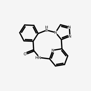 O=C1Nc2cccc(n2)-c2nncn2Bc2ccccc21